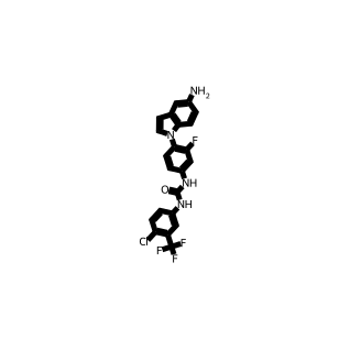 Nc1ccc2c(ccn2-c2ccc(NC(=O)Nc3ccc(Cl)c(C(F)(F)F)c3)cc2F)c1